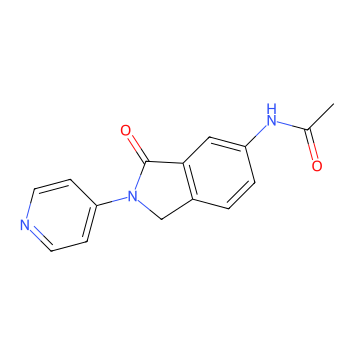 CC(=O)Nc1ccc2c(c1)C(=O)N(c1ccncc1)C2